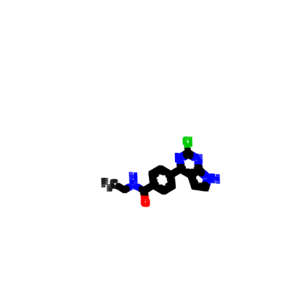 O=C(NCC(F)(F)F)c1ccc(-c2nc(Cl)nc3[nH]ccc23)cc1